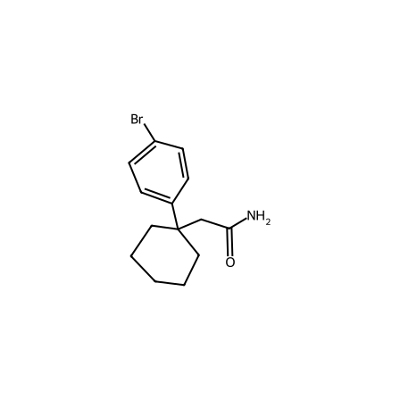 NC(=O)CC1(c2ccc(Br)cc2)CCCCC1